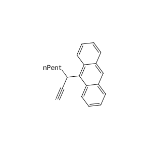 [C]#CC(CCCCC)c1c2ccccc2cc2ccccc12